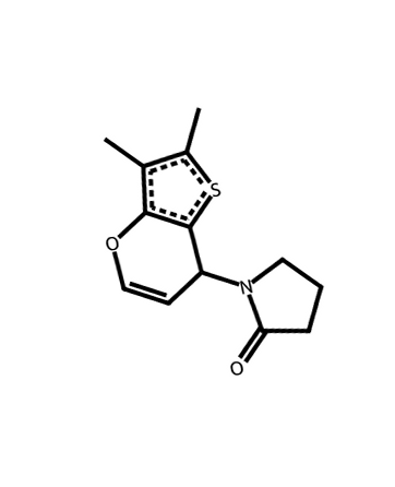 Cc1sc2c(c1C)OC=CC2N1CCCC1=O